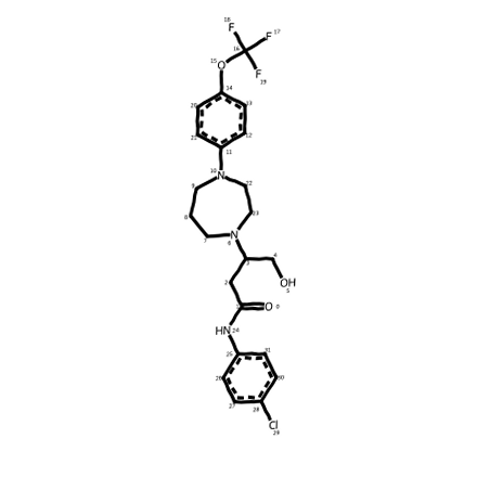 O=C(CC(CO)N1CCCN(c2ccc(OC(F)(F)F)cc2)CC1)Nc1ccc(Cl)cc1